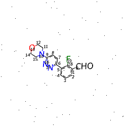 O=Cc1cccc(-c2ccc(N3CCOCC3)nn2)c1F